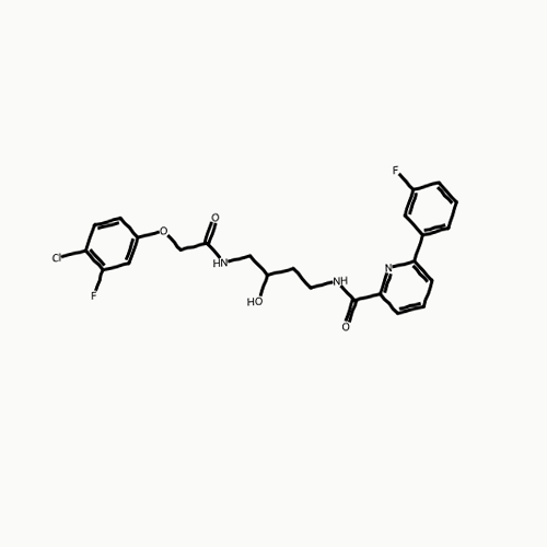 O=C(COc1ccc(Cl)c(F)c1)NCC(O)CCNC(=O)c1cccc(-c2cccc(F)c2)n1